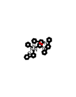 C1=CC2Oc3c(-c4nc(-c5ccccc5)nc(-c5cccc(-n6c7ccccc7c7ccc8c9ccccc9n(-c9ccc(-c%10ccccc%10)cc9)c8c76)c5)n4)cccc3C2C=C1